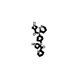 O=C(C1CNC1)N(c1ccc(O[C@]2(C(=O)c3ccccn3)CCNC2)cc1)c1cccnn1